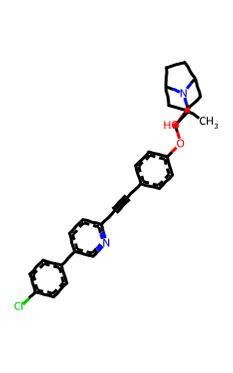 CC1(O)CC2CCC(C1)N2CCOc1ccc(C#Cc2ccc(-c3ccc(Cl)cc3)cn2)cc1